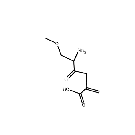 C=C(CC(=O)C(N)COC)C(=O)O